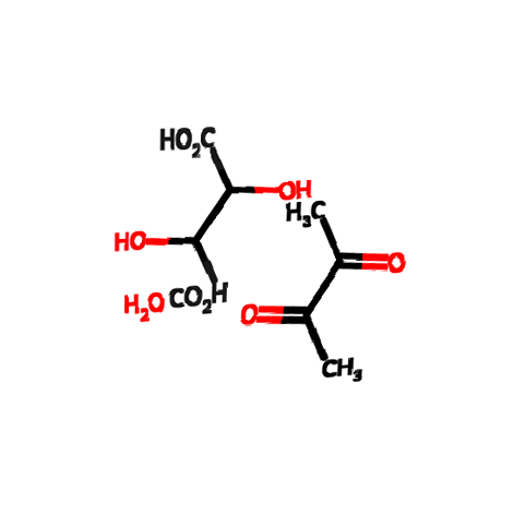 CC(=O)C(C)=O.O.O=C(O)C(O)C(O)C(=O)O